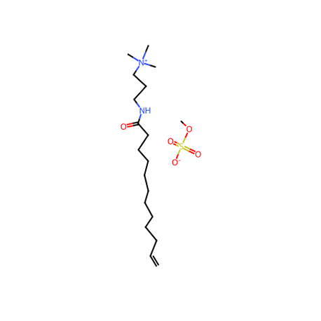 C=CCCCCCCCCCC(=O)NCCC[N+](C)(C)C.COS(=O)(=O)[O-]